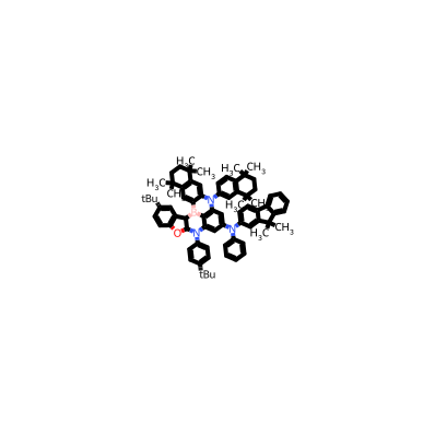 CC(C)(C)c1ccc(N2c3cc(N(c4ccccc4)c4ccc5c(c4)C(C)(C)c4ccccc4-5)cc4c3B(c3cc5c(cc3N4c3ccc4c(c3)C(C)(C)CCC4(C)C)C(C)(C)CCC5(C)C)C3c4cc(C(C)(C)C)ccc4OC32)cc1